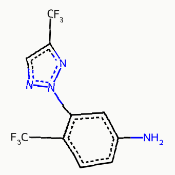 Nc1ccc(C(F)(F)F)c(-n2ncc(C(F)(F)F)n2)c1